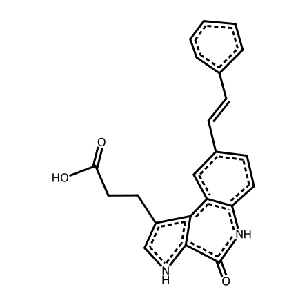 O=C(O)CCc1c[nH]c2c(=O)[nH]c3ccc(C=Cc4ccccc4)cc3c12